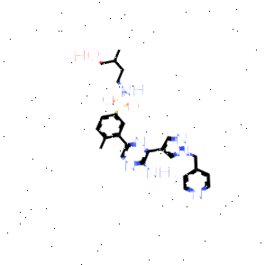 Cc1ccc(S(=O)(=O)NCCC(C)CO)cc1-c1cnc(N)c(-c2cnn(Cc3ccncc3)c2)n1